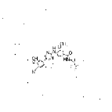 COc1cc(-c2cnc(Nc3ccc(C(=O)NC4CC4C(F)(F)F)cc3OC)nc2)ccc1C#N